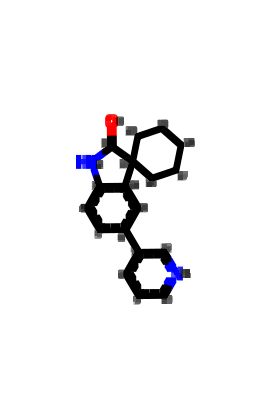 O=C1Nc2ccc(-c3cccnc3)cc2C12CCCCC2